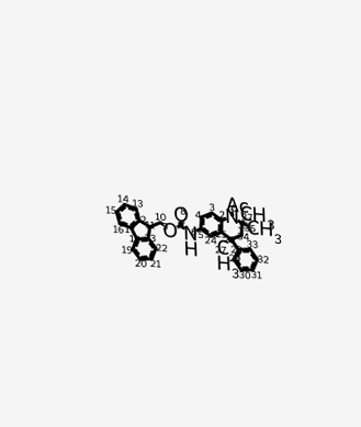 CC(=O)N1c2ccc(NC(=O)OCC3c4ccccc4-c4ccccc43)cc2C(C)(c2ccccc2)CC1(C)C